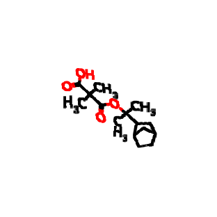 CC(C)(C(=O)O)C(=O)OC(C)(C)C1CC2CCC1C2